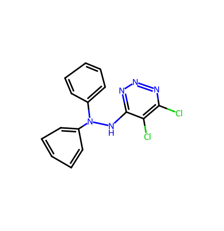 Clc1nnnc(NN(c2ccccc2)c2ccccc2)c1Cl